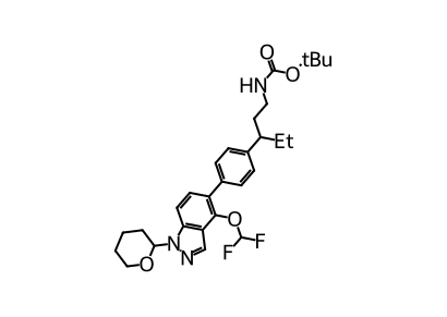 CCC(CCNC(=O)OC(C)(C)C)c1ccc(-c2ccc3c(cnn3C3CCCCO3)c2OC(F)F)cc1